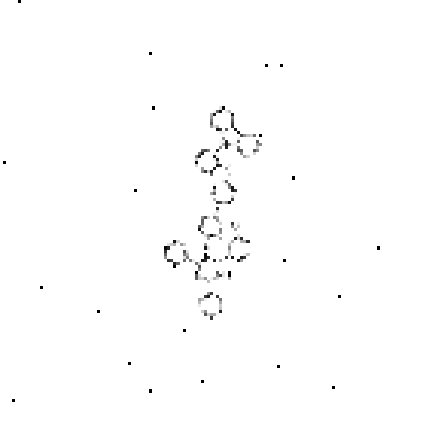 c1ccc(C2=NC(c3ccccc3)NC(c3cccc4oc5c(-c6ccc7sc8c(-n9c%10ccccc%10c%10ccccc%109)cccc8c7c6)cccc5c34)N2)cc1